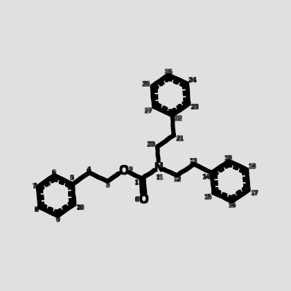 O=C(OCCc1ccccc1)N(CCc1ccccc1)CCc1ccccc1